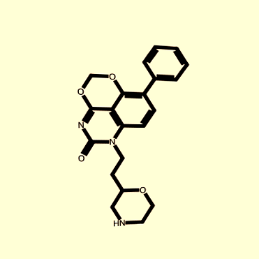 O=c1nc2c3c(c(-c4ccccc4)ccc3n1CCC1CNCCO1)OCO2